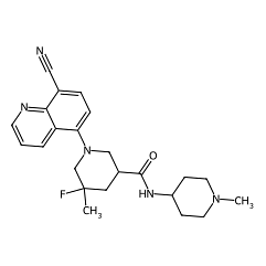 CN1CCC(NC(=O)C2CN(c3ccc(C#N)c4ncccc34)CC(C)(F)C2)CC1